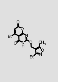 CCc1noc(C)c1COc1nc2oc(=O)cc(CC)c2c(=O)[nH]1